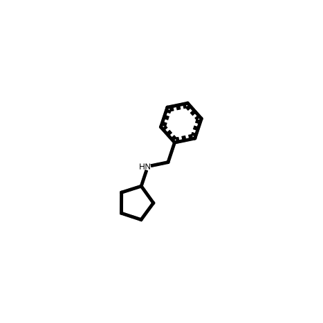 c1ccc(CN[C]2CCCC2)cc1